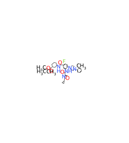 Cc1ccccc1N1CCN(c2cc(F)c(C(=O)NC3CCC[C@H](C(=O)OC(C)(C)C)C3)cc2NC(=O)c2coc(C3CC3)n2)CC1